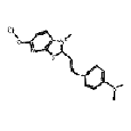 CCOc1ccc2c(n1)sc(C=Cc1ccc(N(C)C)cc1)[n+]2C